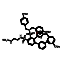 COc1ccc(CN(Cc2ccc(OC)cc2)S(=O)(=O)c2c(S(=O)(=O)NCCNC(=O)O)ccc(-c3cccc(N)c3)c2-c2nnn(Cc3ccc(OC)cc3)n2)cc1